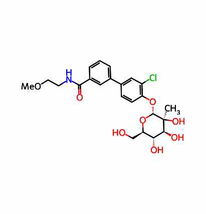 COCCNC(=O)c1cccc(-c2ccc(O[C@H]3O[C@H](CO)[C@@H](O)[C@H](O)[C@]3(C)O)c(Cl)c2)c1